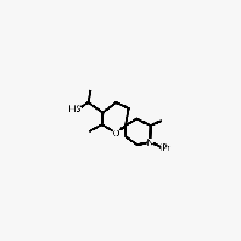 CC(S)C1CCC2(CCN(C(C)C)C(C)C2)OC1C